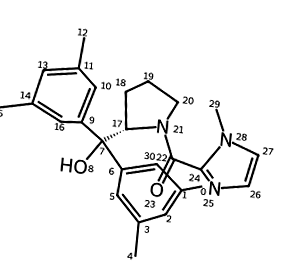 Cc1cc(C)cc(C(O)(c2cc(C)cc(C)c2)[C@@H]2CCCN2C(=O)c2nccn2C)c1